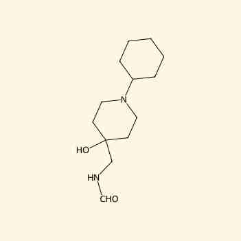 O=CNCC1(O)CCN(C2CCCCC2)CC1